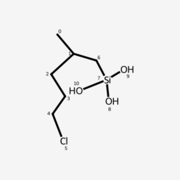 CC(CCCCl)C[Si](O)(O)O